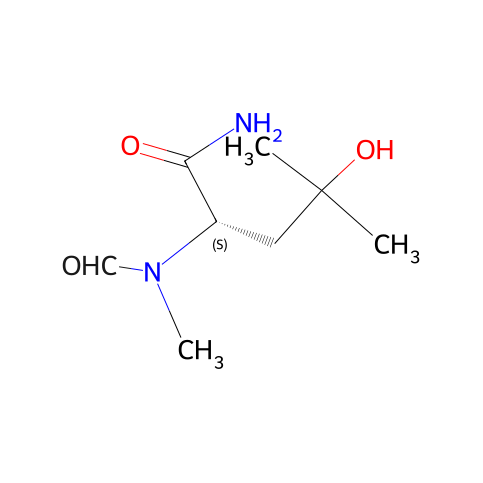 CN(C=O)[C@@H](CC(C)(C)O)C(N)=O